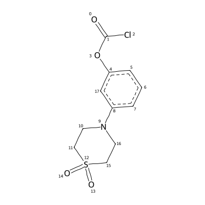 O=C(Cl)Oc1cccc(N2CCS(=O)(=O)CC2)c1